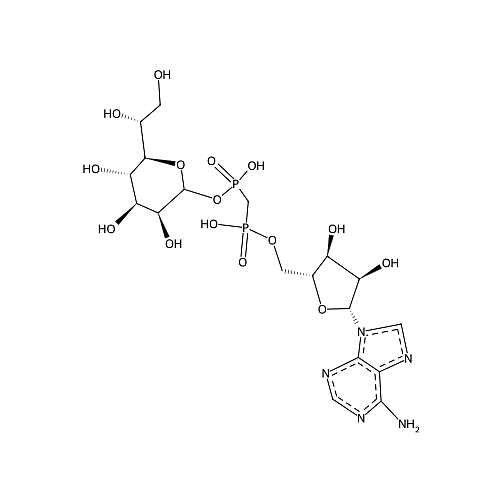 Nc1ncnc2c1ncn2[C@@H]1O[C@H](COP(=O)(O)CP(=O)(O)OC2O[C@H]([C@H](O)CO)[C@@H](O)[C@H](O)[C@@H]2O)[C@@H](O)[C@H]1O